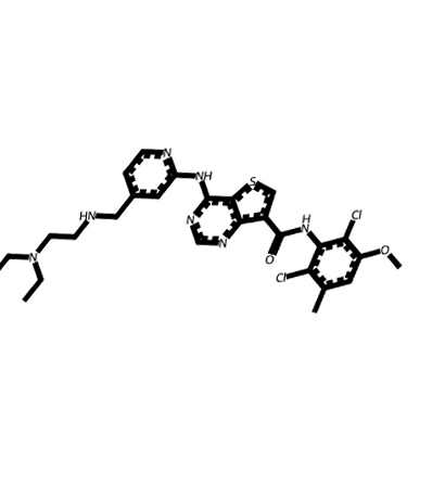 CCN(CC)CCNCc1ccnc(Nc2ncnc3c(C(=O)Nc4c(Cl)c(C)cc(OC)c4Cl)csc23)c1